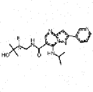 CC(C)Nc1c(C(=O)NC[C@@H](F)C(C)(C)O)cnc2cc(-c3cccnc3)nn12